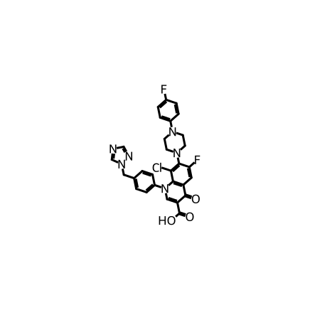 O=C(O)c1cn(-c2ccc(Cn3cncn3)cc2)c2c(Cl)c(N3CCN(c4ccc(F)cc4)CC3)c(F)cc2c1=O